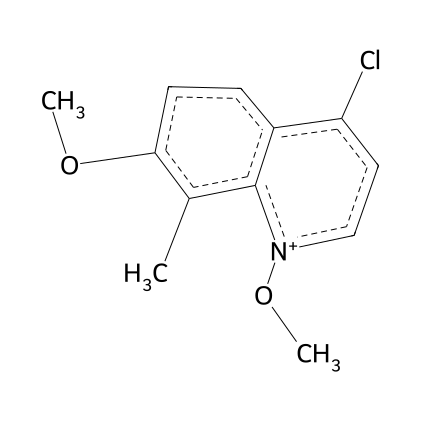 COc1ccc2c(Cl)cc[n+](OC)c2c1C